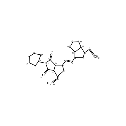 C=CC1CC(C=CC2CC(C=C)C3C(=O)N(C4CCCCC4)C(=O)C23)C2SCSC12